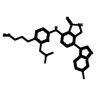 COCCCc1ccc(Nc2ccc(-c3cnn4cc(C)ccc34)c3c2C(=O)NC3)nc1CN(C)C